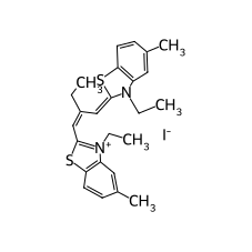 CCC(=Cc1sc2ccc(C)cc2[n+]1CC)C=C1Sc2ccc(C)cc2N1CC.[I-]